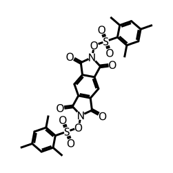 Cc1cc(C)c(S(=O)(=O)On2c(=O)c3cc4c(=O)n(OS(=O)(=O)c5c(C)cc(C)cc5C)c(=O)c4cc3c2=O)c(C)c1